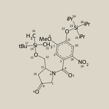 COc1cc(C(=O)N2CC(=O)CC2CO[Si](C)(C)C(C)(C)C)c([N+](=O)[O-])cc1O[Si](C(C)C)(C(C)C)C(C)C